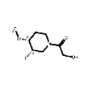 CO[C@@H]1CCN(C(=O)CO)C[C@@H]1F